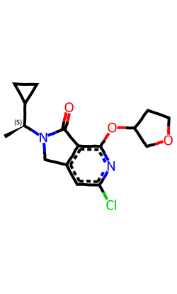 C[C@@H](C1CC1)N1Cc2cc(Cl)nc(OC3CCOC3)c2C1=O